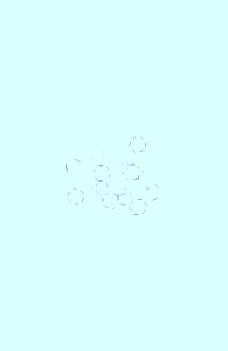 CC1(C)C2=CC=CCC2c2c1ccc1c3c(ccc4c5ccccc5n(-c5cnc(-c6ccccc6)nc5[C@H]5C=CC=CC5)c43)n(-c3ccccc3)c21